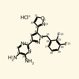 Cl.Nc1cnc(-c2cc(-c3ccon3)n(Cc3cccc(F)c3F)n2)nc1N